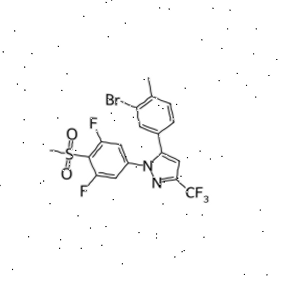 Cc1ccc(-c2cc(C(F)(F)F)nn2-c2cc(F)c(S(C)(=O)=O)c(F)c2)cc1Br